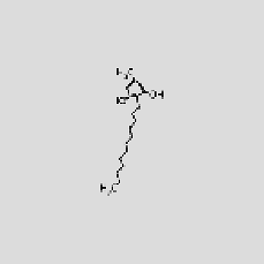 CCCCCCCCCCCCc1c(O)cc(C)cc1O